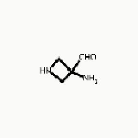 NC1(C=O)CNC1